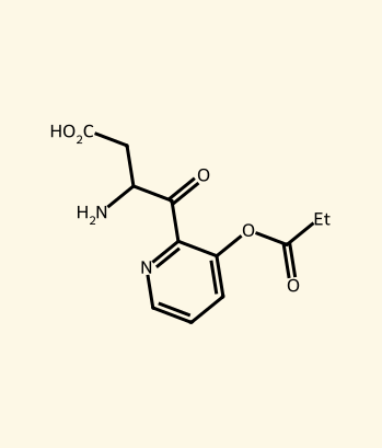 CCC(=O)Oc1cccnc1C(=O)C(N)CC(=O)O